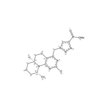 COC(=O)c1cn(Cc2nc(Cl)nc3c2OC[C@@H]2COC[C@@H](C)N32)nn1